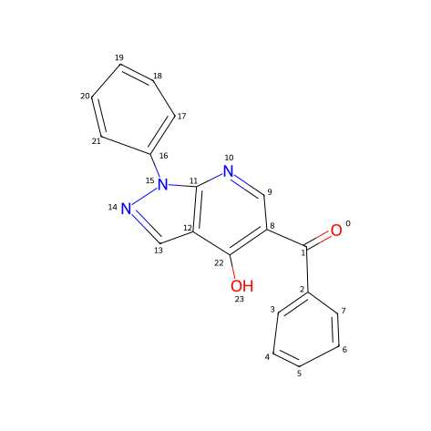 O=C(c1ccccc1)c1cnc2c(cnn2-c2ccccc2)c1O